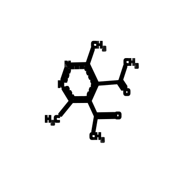 CC(=O)c1c(C)nnc(C)c1C(C)=O